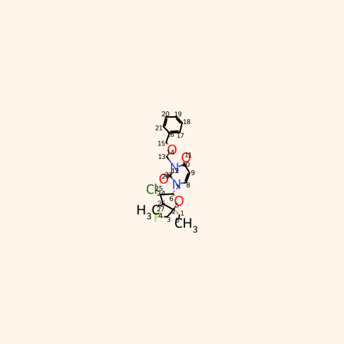 CC[C@@]1(CF)O[C@@H](n2ccc(=O)n(COCc3ccccc3)c2=O)[C@@H](Cl)[C@@H]1C